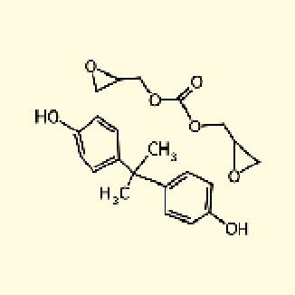 CC(C)(c1ccc(O)cc1)c1ccc(O)cc1.O=C(OCC1CO1)OCC1CO1